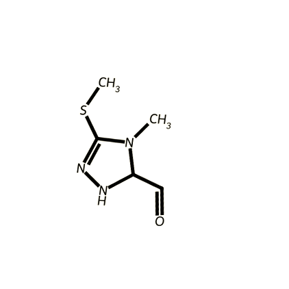 CSC1=NNC(C=O)N1C